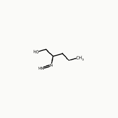 CCCC(CO)N=N